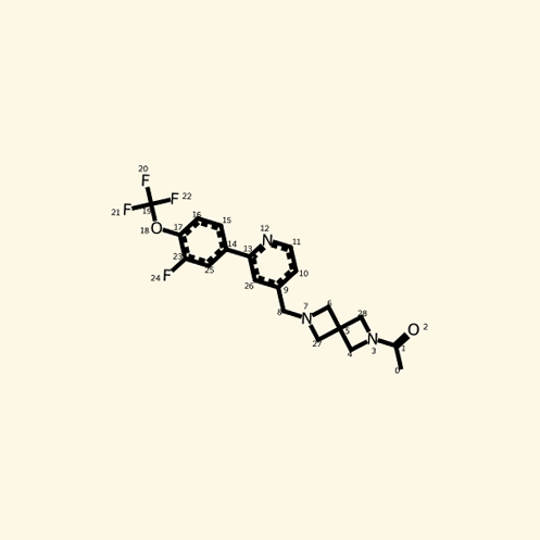 CC(=O)N1CC2(CN(Cc3ccnc(-c4ccc(OC(F)(F)F)c(F)c4)c3)C2)C1